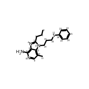 CCCc1nc2c(N)ncc(C)c2n1CCCSc1ccccc1